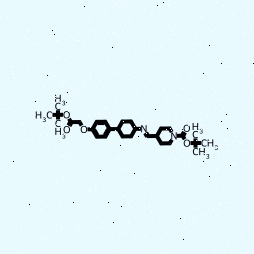 CC(C)(C)OC(=O)COc1ccc(C2CCC(N=CC3CCN(C(=O)OC(C)(C)C)CC3)CC2)cc1